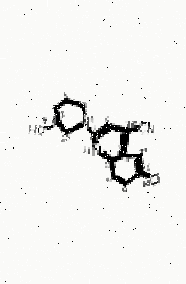 N#Cc1cc(N2CCC[C@H](O)C2)nc2ccc(Cl)cc12